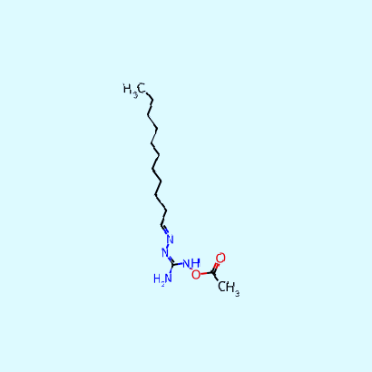 CCCCCCCCCCC=NN=C(N)NOC(C)=O